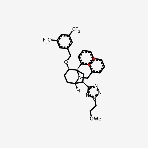 COCCn1nnc([C@@H]2C[C@@]3(c4ccccc4)[C@H](OCc4cc(C(F)(F)F)cc(C(F)(F)F)c4)CC[C@@H]2N3Cc2ccccc2)n1